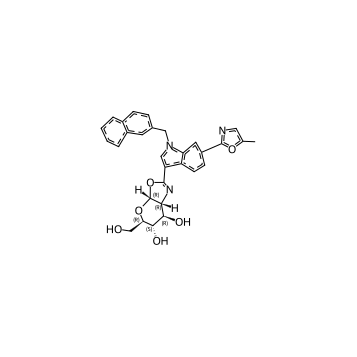 Cc1cnc(-c2ccc3c(C4=N[C@H]5[C@@H](O4)O[C@H](CO)[C@@H](O)[C@@H]5O)cn(Cc4ccc5ccccc5c4)c3c2)o1